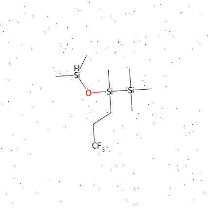 C[SiH](C)O[Si](C)(CCC(F)(F)F)[Si](C)(C)C